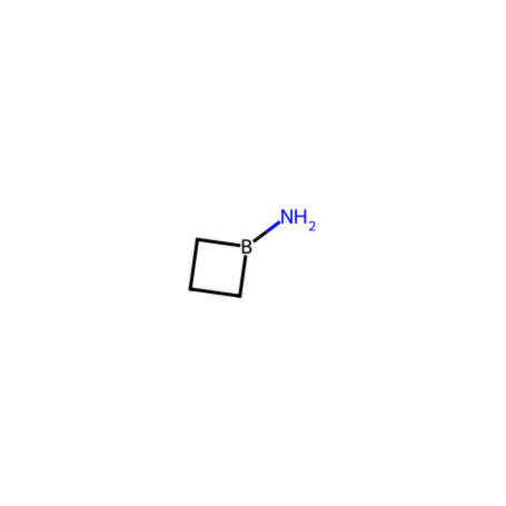 NB1CCC1